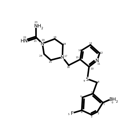 Bc1ccc(F)cc1CSc1ncccc1CN1CCN(C(=N)N)CC1